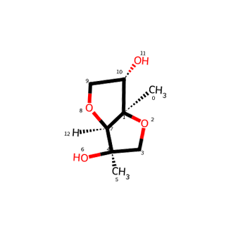 C[C@]12OC[C@@](C)(O)[C@H]1OC[C@@H]2O